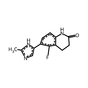 Cc1ncc(-c2ccc3c(c2F)CCC(=O)N3)[nH]1